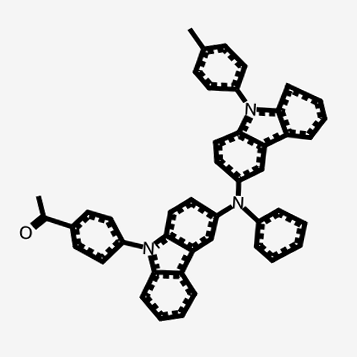 CC(=O)c1ccc(-n2c3ccccc3c3cc(N(c4ccccc4)c4ccc5c(c4)c4ccccc4n5-c4ccc(C)cc4)ccc32)cc1